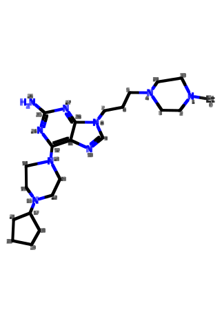 CCN1CCN(CCCn2cnc3c(N4CCN(C5CCCC5)CC4)nc(N)nc32)CC1